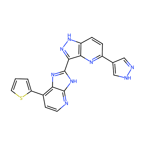 c1csc(-c2ccnc3[nH]c(-c4n[nH]c5ccc(-c6cn[nH]c6)nc45)nc23)c1